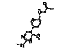 COc1ncc(-c2ccc(OCC(C)=O)cc2)c(OC)n1